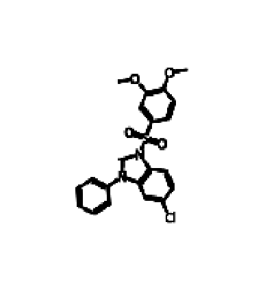 COc1ccc(S(=O)(=O)N2[CH]N(c3ccccc3)c3cc(Cl)ccc32)cc1OC